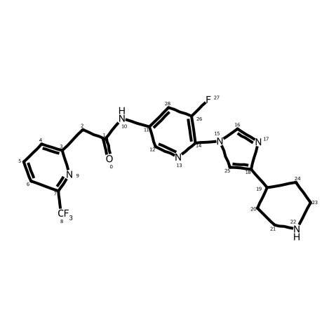 O=C(Cc1cccc(C(F)(F)F)n1)Nc1cnc(-n2cnc(C3CCNCC3)c2)c(F)c1